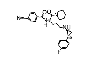 N#Cc1ccc(C(=O)N[C@@H](CCCN[C@@H]2C[C@H]2c2ccc(F)cc2)C(=O)N2CCCCC2)cc1